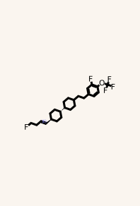 FCC/C=C/[C@H]1CC[C@H](C2CCC(CCc3ccc(OC(F)(F)F)c(F)c3)CC2)CC1